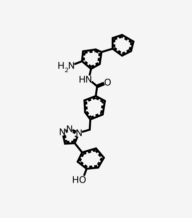 Nc1ccc(-c2ccccc2)cc1NC(=O)c1ccc(Cn2nncc2-c2cccc(O)c2)cc1